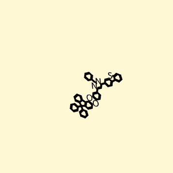 c1ccc(-c2nc(-c3ccc4c(c3)Oc3c(ccc5c3-c3ccccc3C5(c3ccccc3)c3ccccc3)O4)cc(-c3ccc4c(c3)sc3ccccc34)n2)cc1